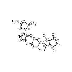 Cc1cc(Cn2nnn(-c3cc(C(F)(F)F)cc(C(F)(F)F)c3)c2=O)ccc1N1C(=O)c2c(Cl)ccc(Cl)c2C1=O